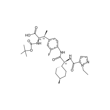 CCn1nccc1C(=O)N[C@H](C(=O)Nc1ccc([C@H](C)[C@@H](NC(=O)OC(C)(C)C)C(=O)O)cc1F)[C@H]1CC[C@H](C)CC1